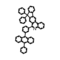 c1ccc(-c2c3ccccc3c(-c3cccc(-c4nc5ccccc5c5cc6c(cc45)C(c4ccccc4)(c4ccccc4)c4ccccc4-6)c3)c3ccccc23)cc1